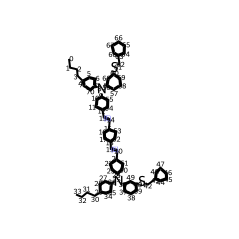 CCCCc1ccc(N(c2ccc(/C=C/c3ccc(/C=C/c4ccc(N(c5ccc(CCCC)cc5)c5cccc(SCc6ccccc6)c5)cc4)cc3)cc2)c2cccc(SCc3ccccc3)c2)cc1